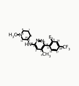 Cc1cc(N[C@@H]2CCCN(C)C2)nnc1-c1ccc(C(F)(F)F)cc1F